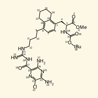 COC(=O)[C@H](Cc1ccc(CCCCNC(=N)NC(=O)c2nc(Cl)c(N)nc2N)c2c1CCCC2)NC(=O)OC(C)(C)C